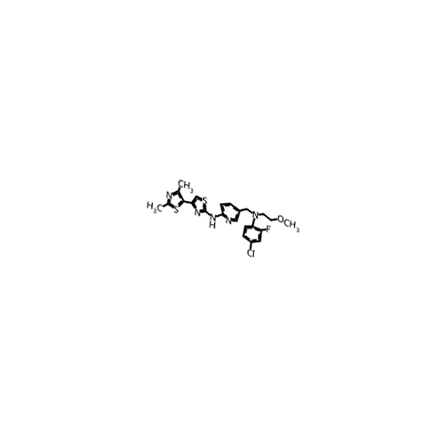 COCCN(Cc1ccc(Nc2nc(-c3sc(C)nc3C)cs2)nc1)c1ccc(Cl)cc1F